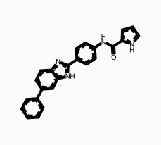 O=C(Nc1ccc(-c2nc3ccc(-c4ccccc4)cc3[nH]2)cc1)c1ccc[nH]1